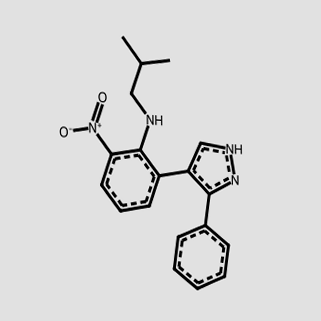 CC(C)CNc1c(-c2c[nH]nc2-c2ccccc2)cccc1[N+](=O)[O-]